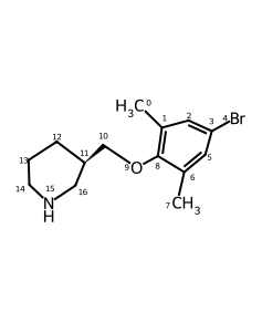 Cc1cc(Br)cc(C)c1OC[C@@H]1CCCNC1